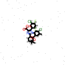 Cc1cc(C(=O)OC(C)(C)C)c(-n2c(C3CCCCC3)nc(C(=O)O)c2-c2ccc(F)c(Cl)c2)c(F)c1Cl